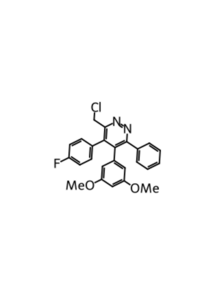 COc1cc(OC)cc(-c2c(-c3ccccc3)nnc(CCl)c2-c2ccc(F)cc2)c1